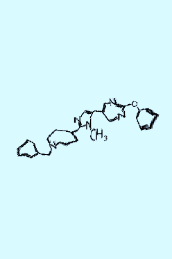 Cn1c(-c2cnc(Oc3ccccc3)nc2)cnc1C1CCN(Cc2ccccc2)CC1